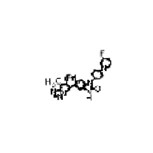 Cc1c(-c2cc3[nH]c(=O)n(C4CCC(N5CCCC(F)C5)CC4)c3cc2C(C)C)cn2ncnc2c1C